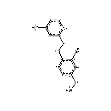 Cc1ccnc(COc2ccc(CN)cc2Br)c1